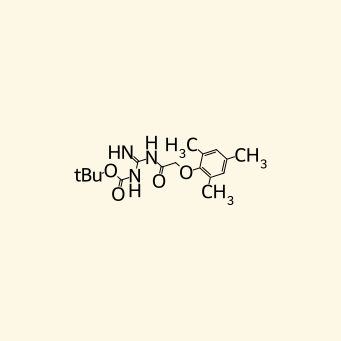 Cc1cc(C)c(OCC(=O)NC(=N)NC(=O)OC(C)(C)C)c(C)c1